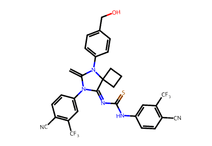 C=C1N(c2ccc(C#N)c(C(F)(F)F)c2)/C(=N/C(=S)Nc2ccc(C#N)c(C(F)(F)F)c2)C2(CCC2)N1c1ccc(CO)cc1